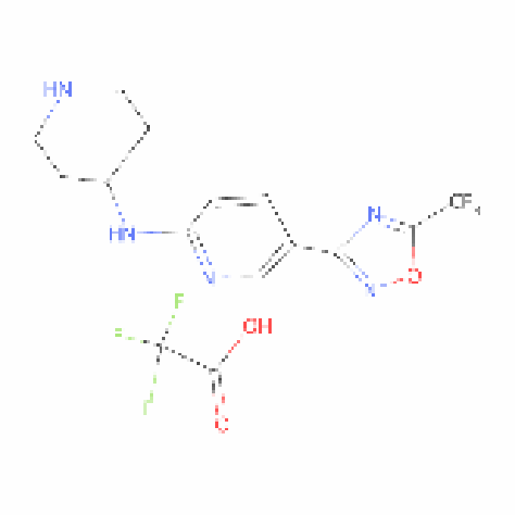 FC(F)(F)c1nc(-c2ccc(NC3CCNCC3)nc2)no1.O=C(O)C(F)(F)F